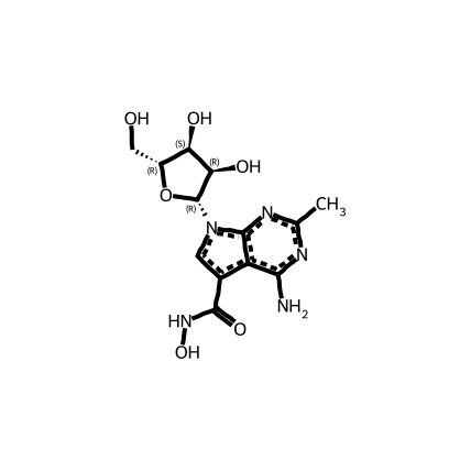 Cc1nc(N)c2c(C(=O)NO)cn([C@@H]3O[C@H](CO)[C@@H](O)[C@H]3O)c2n1